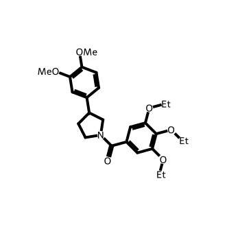 CCOc1cc(C(=O)N2CC[C](c3ccc(OC)c(OC)c3)C2)cc(OCC)c1OCC